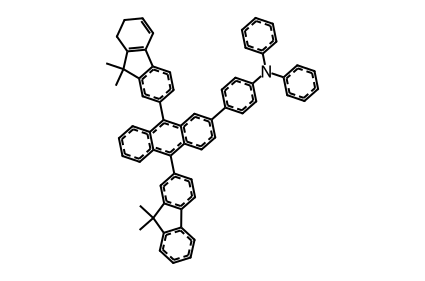 CC1(C)C2=C(C=CCC2)c2ccc(-c3c4ccccc4c(-c4ccc5c(c4)C(C)(C)c4ccccc4-5)c4ccc(-c5ccc(N(c6ccccc6)c6ccccc6)cc5)cc34)cc21